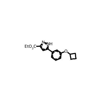 CCOC(=O)c1cc(-c2cccc(OC3CCC3)c2)[nH]n1